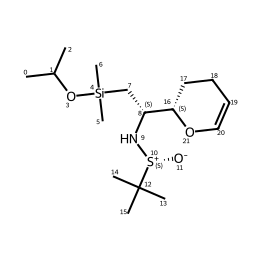 CC(C)O[Si](C)(C)C[C@@H](N[S@+]([O-])C(C)(C)C)[C@@H]1CCC=CO1